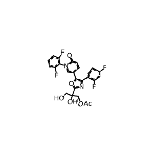 CC(=O)OCC(O)(CO)c1nc(-c2ccc(F)cc2F)c(-c2ccc(=O)n(-c3c(F)cccc3F)c2)o1